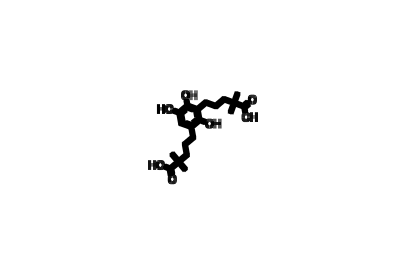 CC(C)(CCCc1cc(O)c(O)c(CCCC(C)(C)C(=O)O)c1O)C(=O)O